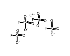 O=S(=O)([O-])F.O=S(=O)([O-])F.O=S(=O)([O-])F.O=S(=O)([O-])F.[C+4]